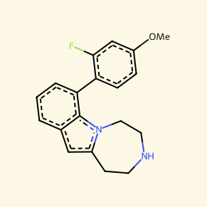 COc1ccc(-c2cccc3cc4n(c23)CCNCC4)c(F)c1